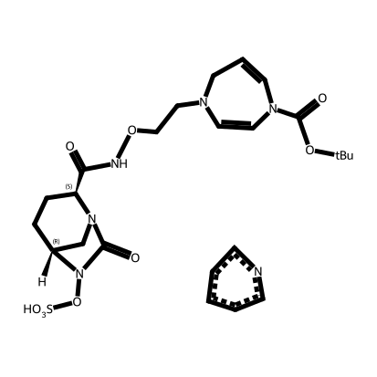 CC(C)(C)OC(=O)N1C=CCN(CCONC(=O)[C@@H]2CC[C@@H]3CN2C(=O)N3OS(=O)(=O)O)C=C1.c1ccncc1